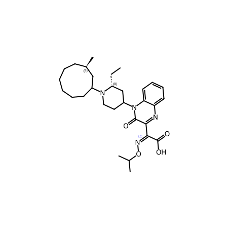 CC[C@@H]1CC(n2c(=O)c(/C(=N/OC(C)C)C(=O)O)nc3ccccc32)CCN1C1CCCCCC[C@@H](C)C1